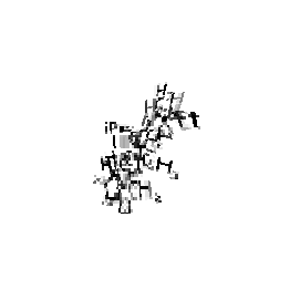 CCNC(=O)[C@H](C)NC(=O)[C@@H](NC(=O)C(C)(C)CC(C)(C)N1C(=O)CCC1=O)C(C)C